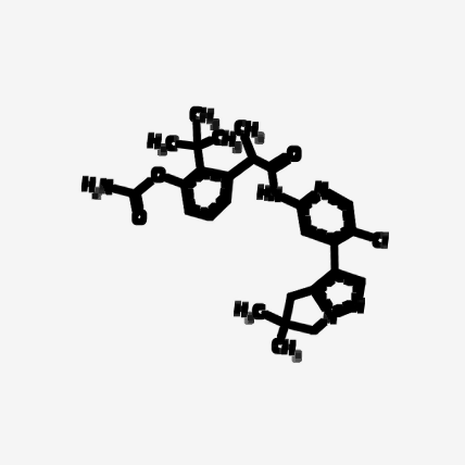 CC(C(=O)Nc1cc(-c2cnn3c2CC(C)(C)C3)c(Cl)cn1)c1cccc(OC(N)=O)c1C(C)(C)C